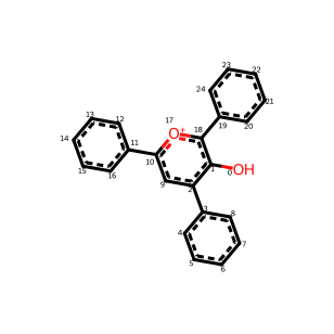 Oc1c(-c2ccccc2)cc(-c2ccccc2)[o+]c1-c1ccccc1